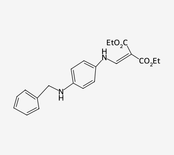 CCOC(=O)C(=CNc1ccc(NCc2ccccc2)cc1)C(=O)OCC